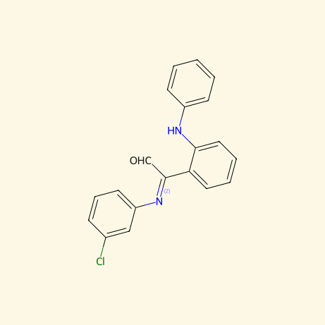 O=C/C(=N\c1cccc(Cl)c1)c1ccccc1Nc1ccccc1